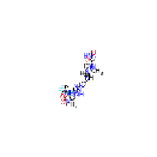 Cn1nc(C2CCC(=O)NC2=O)c2cccc(N3C[C@@H]4C[C@H]3CN4CC3CCN(c4ncc(Cl)c(Nc5ccc6c(c5)c5c(c(=O)n6C)OCC(F)(F)[C@H](C6CC6)N5)n4)CC3)c21